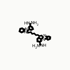 N=C(N)c1cccc(C2(CCCCCCCCC3(c4cccc(C(=N)N)c4)N=c4ccccc4=N3)N=c3ccccc3=N2)c1